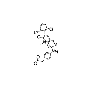 COC(=O)Cc1ccc(Nc2ncc3cc(-c4c(Cl)cccc4Cl)c(=O)n(C)c3n2)cc1